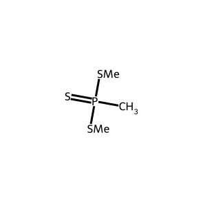 CSP(C)(=S)SC